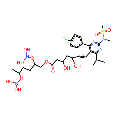 CC(CCC(COC(=O)CC(O)CC(O)/C=C/c1c(-c2ccc(F)cc2)nc(N(C)S(C)(=O)=O)nc1C(C)C)ON(O)O)ON(O)O